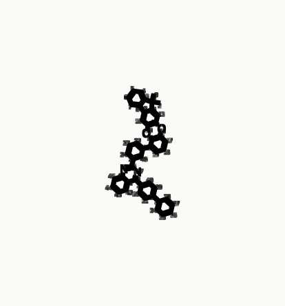 CC1(C)c2ccccc2-c2cc3c(cc21)Oc1cccc(-c2cccc(-c4nc(-c5ccc(-c6ccccc6)cc5)c5ccccc5n4)c2)c1O3